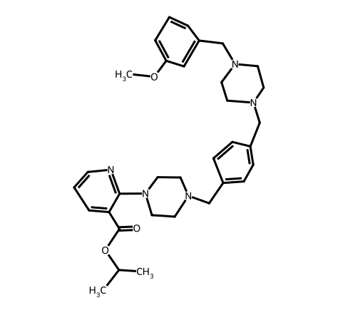 COc1cccc(CN2CCN(Cc3ccc(CN4CCN(c5ncccc5C(=O)OC(C)C)CC4)cc3)CC2)c1